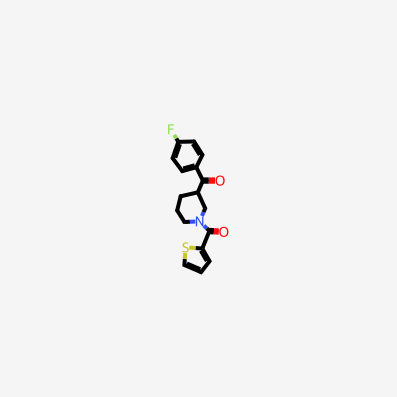 O=C(c1ccc(F)cc1)C1CCCN(C(=O)c2cccs2)C1